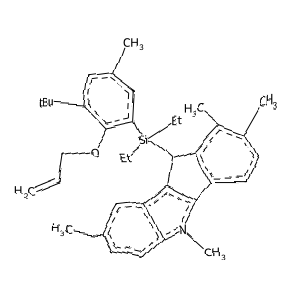 C=CCOc1c(C(C)(C)C)cc(C)cc1[Si](CC)(CC)C1c2c(ccc(C)c2C)-c2c1c1cc(C)ccc1n2C